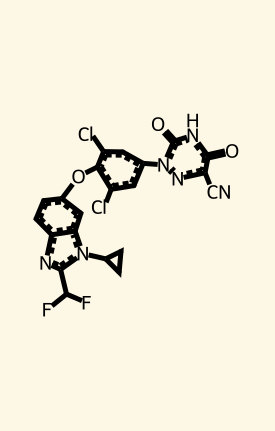 N#Cc1nn(-c2cc(Cl)c(Oc3ccc4nc(C(F)F)n(C5CC5)c4c3)c(Cl)c2)c(=O)[nH]c1=O